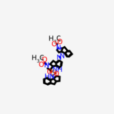 COC(=O)N1CC[C@]2(/N=N/c3cccc4c3CC3N(C(=O)OC)CC[C@]43NS(=O)(=O)N[C@@]34CCCC3Cc3ccccc34)c3ccccc3CC12